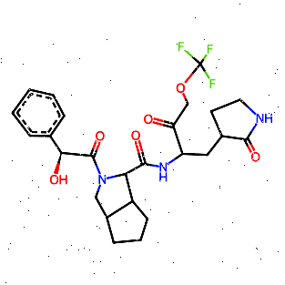 O=C1NCCC1CC(NC(=O)C1C2CCCC2CN1C(=O)[C@@H](O)c1ccccc1)C(=O)COC(F)(F)F